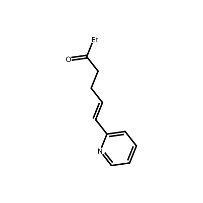 CCC(=O)CCC=Cc1ccccn1